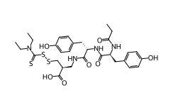 CCC(=O)N[C@@H](Cc1ccc(O)cc1)C(=O)N[C@@H](Cc1ccc(O)cc1)C(=O)NC[C@H](CSSC(=S)N(CC)CC)C(=O)O